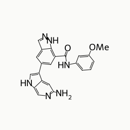 COc1cccc(NC(=O)c2cc(-c3c[nH]c4cnc(N)cc34)cc3cn[nH]c23)c1